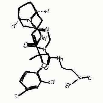 CCN(CC)CCNC(=O)N1C=CC(N2[C@@H]3CC[C@H]2C[C@@H](NC(=O)C(C)(C)Oc2ccc(Cl)cc2Cl)C3)=NC1